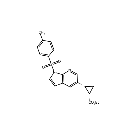 CCOC(=O)[C@H]1C[C@H]1c1cnc2c(ccn2S(=O)(=O)c2ccc(C)cc2)c1